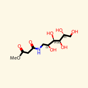 COC(=O)CC(=O)NC[C@H](O)[C@@H](O)[C@H](O)[C@H](O)CO